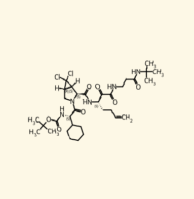 C=CCC[C@H](NC(=O)[C@@H]1[C@@H]2[C@H](CN1C(=O)[C@@H](NC(=O)OC(C)(C)C)C1CCCCC1)C2(Cl)Cl)C(=O)C(=O)NCCC(=O)NC(C)(C)C